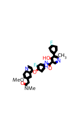 CNC(=O)Cc1cc2c(Oc3ccc(NC(=O)c4cnc(C)c(-c5ccc(F)cc5)c4O)cc3F)ccnc2cc1OC